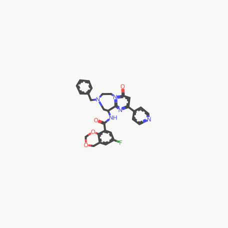 O=C(NC1CN(Cc2ccccc2)CCn2c1nc(-c1ccncc1)cc2=O)c1cc(F)cc2c1OCOC2